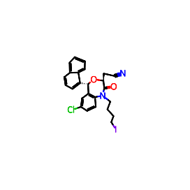 N#CC[C@@H]1O[C@@H](c2cccc3ccccc23)c2cc(Cl)ccc2N(CCCCI)C1=O